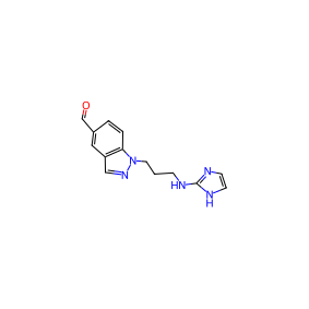 O=Cc1ccc2c(cnn2CCCNc2ncc[nH]2)c1